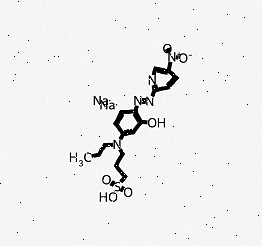 CCCN(CCCS(=O)(=O)O)c1ccc(N=Nc2ccc([N+](=O)[O-])cn2)c(O)c1.[Na].[Na]